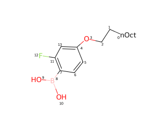 CCCCCCCCCCOc1ccc(B(O)O)c(F)c1